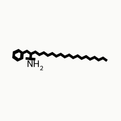 CCCCCCCCCCCCCCCCCCC(Cc1ccccc1)C(C)(C)N